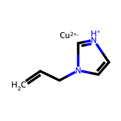 C=CCn1cc[nH+]c1.[Cu+2]